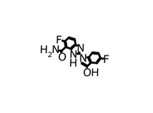 NC(=O)c1c(F)ccc2nc(-n3cc(O)c4cc(F)ccc43)[nH]c12